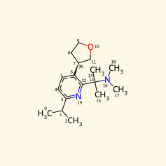 CC(C)c1ccc([C@H]2CCOC2)c(C(C)(C)N(C)C)n1